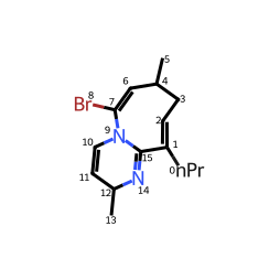 CCC/C1=C\CC(C)/C=C(/Br)N2C=CC(C)N=C12